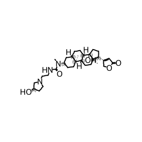 CN(C(=O)NCCN1CC[C@@H](O)C1)[C@H]1CC[C@@]2(C)[C@H](CC[C@@H]3[C@@H]2CC[C@]2(C)[C@@H](C4=CC(=O)OC4)CC[C@]32O)C1